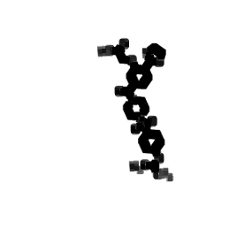 CC(C)Oc1ccc(S(=O)(=O)N2CCN(C(=O)c3ccc(-c4ncco4)c(OCC(=O)O)c3)CC2)cc1